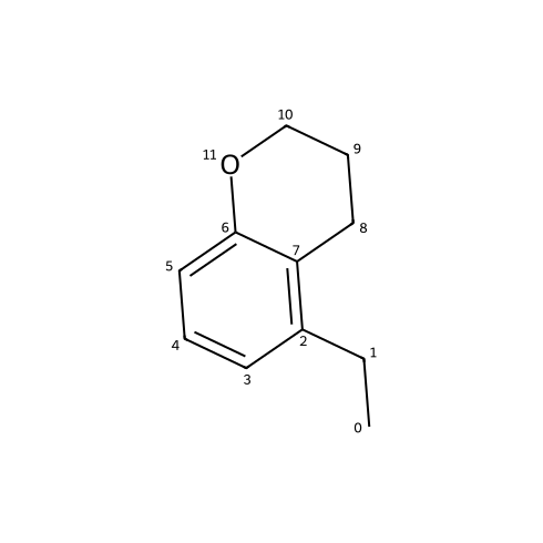 CCc1cccc2c1CCCO2